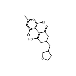 CCc1cc(C)cc(CC)c1C1=C(O)CC(CC2CCOC2)CC1=O